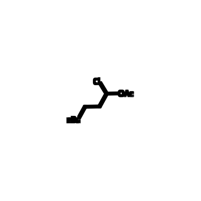 CCCCCCC(Cl)OC(C)=O